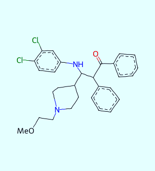 COCCN1CCC(C(Nc2ccc(Cl)c(Cl)c2)C(C(=O)c2ccccc2)c2ccccc2)CC1